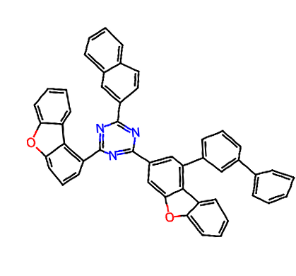 c1ccc(-c2cccc(-c3cc(-c4nc(-c5ccc6ccccc6c5)nc(-c5cccc6oc7ccccc7c56)n4)cc4oc5ccccc5c34)c2)cc1